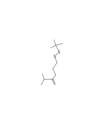 C=C(CCCSSC(C)(C)C)C(C)C